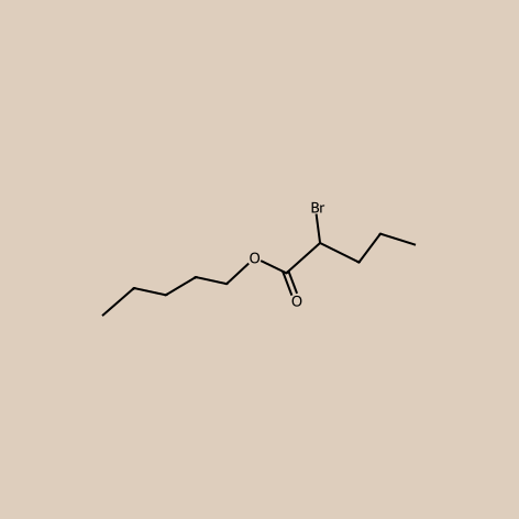 CCCCCOC(=O)C(Br)CCC